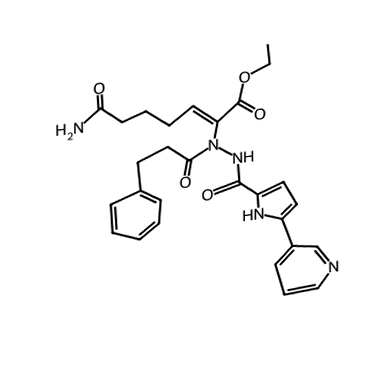 CCOC(=O)/C(=C/CCCC(N)=O)N(NC(=O)c1ccc(-c2cccnc2)[nH]1)C(=O)CCc1ccccc1